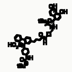 CC(C)(C)OC(=O)NC1CCC(N(C(=O)O)c2cc(CCCC(=O)N[C@H]3C[C@H](CNC[C@H](O[Si](C)(C)C(C)(C)C)c4ccc(O)c5[nH]c(=O)ccc45)C3)ccc2-c2ccccc2)CC1